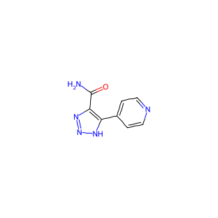 NC(=O)c1nn[nH]c1-c1ccncc1